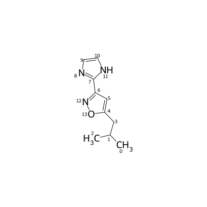 CC(C)Cc1cc(-c2ncc[nH]2)no1